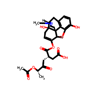 CC(=O)O[C@@H](C)C(=O)C[C@@H](CC(=O)O)C(=O)OC1=CC[C@]2(O)[C@@H]3Cc4ccc(O)c5c4[C@]2(CCN3C)[C@@H]1O5